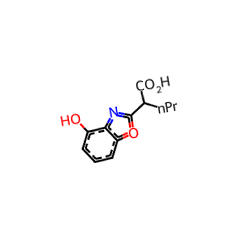 CCCC(C(=O)O)c1nc2c(O)cccc2o1